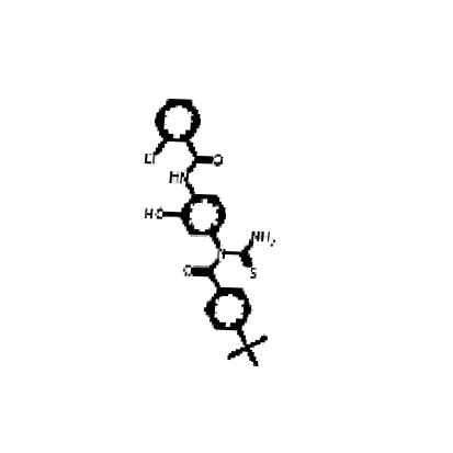 CC(C)(C)c1ccc(C(=O)N(C(N)=S)c2ccc(NC(=O)c3ccccc3Cl)c(O)c2)cc1